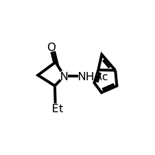 CCC1CC(=O)N1NC(C)=O.c1cc2cc-2c1